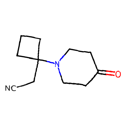 N#CCC1(N2CCC(=O)CC2)CCC1